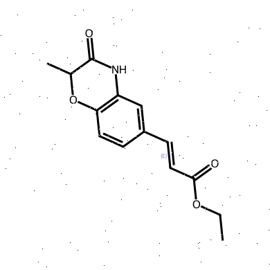 CCOC(=O)/C=C/c1ccc2c(c1)NC(=O)C(C)O2